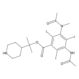 CC(=O)Nc1c(I)c(C(=O)OC(C)(C)C2CCNCC2)c(I)c(N(C)C(C)=O)c1I